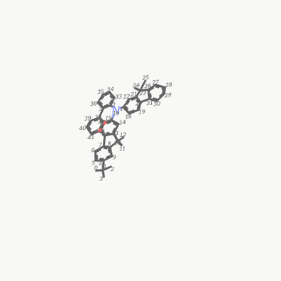 CC(C)(C)c1ccc2c(c1)C(C)(C)c1cc(N(c3ccc4c(c3)C(C)(C)c3ccccc3-4)c3ccccc3-c3ccccc3)ccc1-2